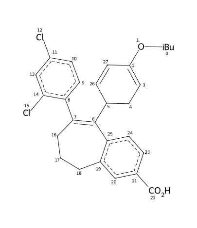 CCC(C)OC1=CCC(C2=C(c3ccc(Cl)cc3Cl)CCCc3cc(C(=O)O)ccc32)C=C1